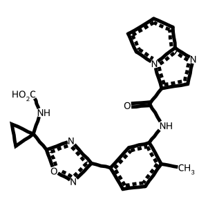 Cc1ccc(-c2noc(C3(NC(=O)O)CC3)n2)cc1NC(=O)c1cnc2ccccn12